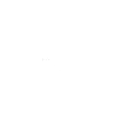 OC/C(=C\c1ccccc1)COC(c1ccccc1)(c1ccccc1)c1ccccc1